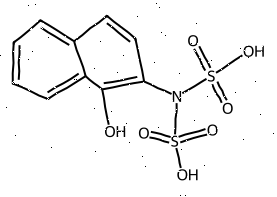 O=S(=O)(O)N(c1ccc2ccccc2c1O)S(=O)(=O)O